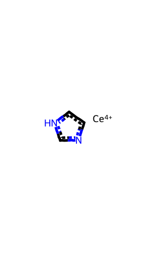 [Ce+4].c1c[nH]cn1